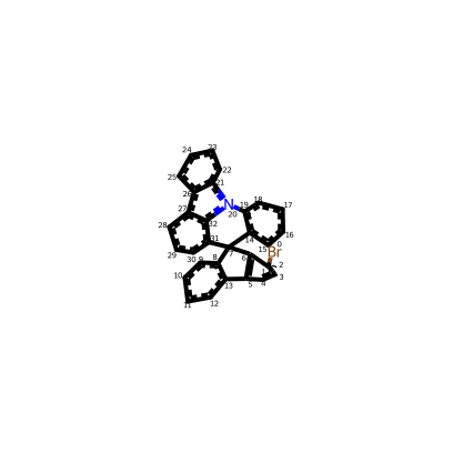 BrC1CC=CC2=C1C1(c3ccccc32)c2ccccc2-n2c3ccccc3c3cccc1c32